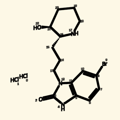 Cl.Cl.O=c1[nH]c2ccc(Br)cc2n1CCC[C@H]1NCCC[C@@H]1O